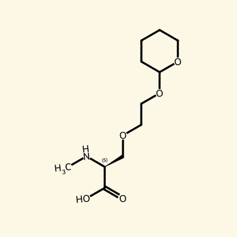 CN[C@@H](COCCOC1CCCCO1)C(=O)O